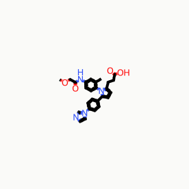 COCC(=O)Nc1ccc(-n2c(CCC(=O)O)ccc2-c2ccc(-n3ccnc3)cc2)c(C)c1